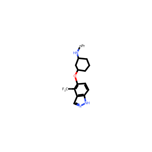 CCCNC1CCCC(Oc2ccc3[nH]ncc3c2C(F)(F)F)C1